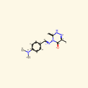 C=C1NN=C(C)C(=O)N1/N=C/c1ccc(N(CC)CC)cc1